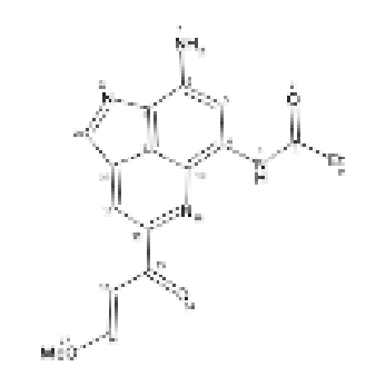 CCC(=O)Nc1cc(N)c2c3c(cc(C(=O)/C=C/OC)nc13)C=N2